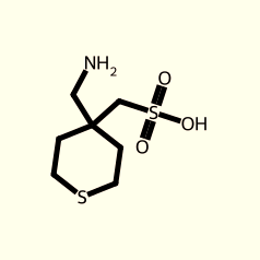 NCC1(CS(=O)(=O)O)CCSCC1